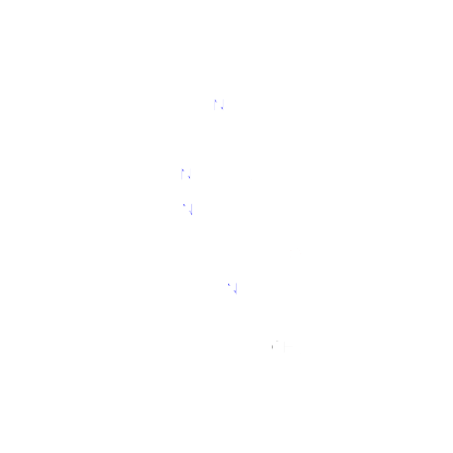 CC1CCN1C(=O)c1cc2ncccn2n1